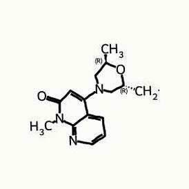 [CH2][C@@H]1CN(c2cc(=O)n(C)c3ncccc23)C[C@@H](C)O1